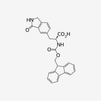 O=C(N[C@@H](Cc1ccc2c(c1)C(=O)NC2)C(=O)O)OCC1c2ccccc2-c2ccccc21